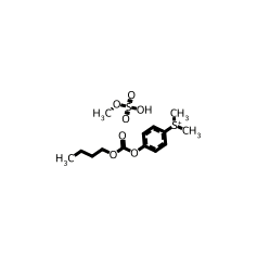 CCCCOC(=O)Oc1ccc([S+](C)C)cc1.COS(=O)(=O)O